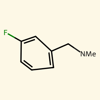 CNCc1cccc(F)c1